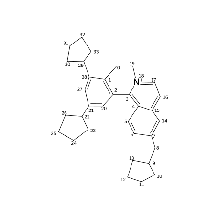 Cc1c(-c2c3ccc(CC4CCCC4)cc3cc[n+]2C)cc(C2CCCC2)cc1C1CCCC1